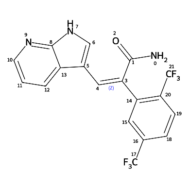 NC(=O)/C(=C\c1c[nH]c2ncccc12)c1cc(C(F)(F)F)ccc1C(F)(F)F